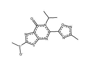 Cc1noc(-c2nc3sc([S+](C)[O-])nc3c(=O)n2C(C)C)n1